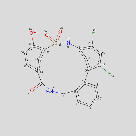 O=C1NCc2ccccc2-c2cc(c(F)cc2F)NS(=O)(=O)c2cc1ccc2O